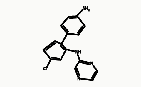 Nc1ccc(-c2ccc(Cl)cc2Nc2cnccn2)cc1